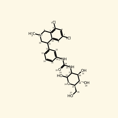 CN1Cc2c(Cl)cc(Cl)cc2C(c2cccc(NC(=O)NC3C(O)O[C@H](CO)[C@@H](O)[C@@H]3O)c2)C1